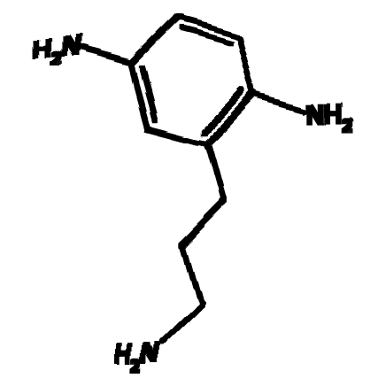 NCCCc1cc(N)ccc1N